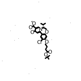 COC(=O)c1cn2c(cc1=O)-c1cc(Cl)c(OCCCC(=O)OC(C)(C)C)cc1OC[C@H]2C(C)C